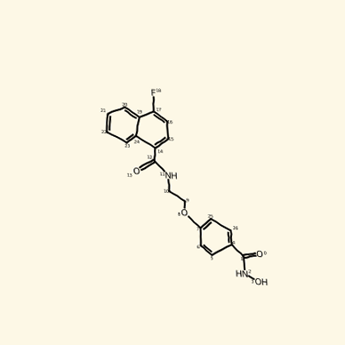 O=C(NO)c1ccc(OCCNC(=O)c2ccc(F)c3ccccc23)cc1